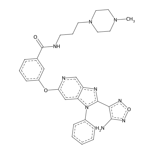 CN1CCN(CCCNC(=O)c2cccc(Oc3cc4c(cn3)nc(-c3nonc3N)n4-c3ccccc3)c2)CC1